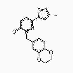 Cc1csc(-c2ccc(=O)n(Cc3ccc4c(c3)OCCO4)n2)c1